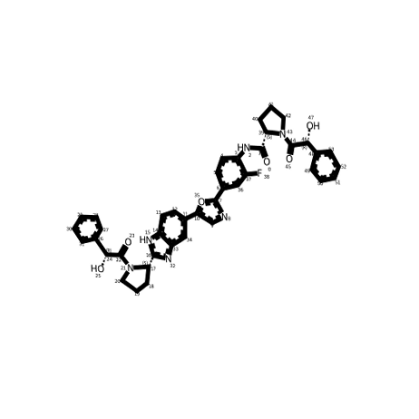 O=C(Nc1ccc(-c2ncc(-c3ccc4[nH]c([C@@H]5CCCN5C(=O)[C@H](O)c5ccccc5)nc4c3)o2)cc1F)[C@@H]1CCCN1C(=O)[C@H](O)c1ccccc1